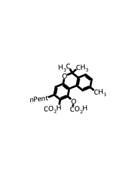 CCCCCc1cc2c(c(OC(=O)O)c1C(=O)O)-c1cc(C)ccc1C(C)(C)O2